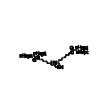 CCCCCCCC(CCCCCCC)C(=O)OCCCCCCCC1CNCC(CCCCCCCOC(=O)C(CCCCCCC)CCCCCCC)N1